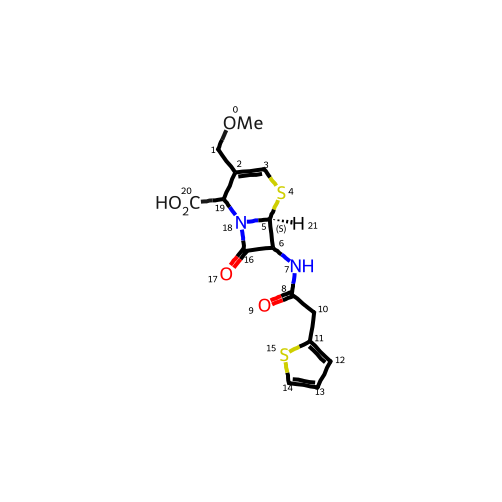 COCC1=CS[C@H]2C(NC(=O)Cc3cccs3)C(=O)N2C1C(=O)O